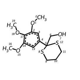 COc1cc(C2(CO)SCCCS2)cc(OC)c1OC